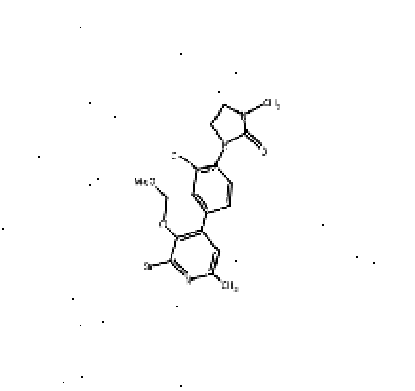 COCOc1c(-c2ccc(N3CCN(C)C3=O)c(Cl)c2)cc(C)nc1Br